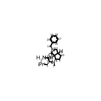 CC(C)C[C@@H](C(N)=O)N(C)[C@@H]1CC[C@H]2CN(Cc3ccccc3)C[C@H]21